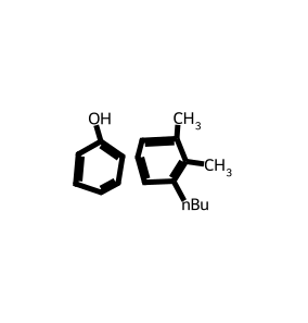 CCCCc1cccc(C)c1C.Oc1ccccc1